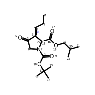 CC/C=C1/C(=O)CN(C(=O)OC(C)(C)C)[C@@H]1C(=O)OCC(C)C